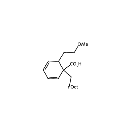 CCCCCCCCCC1(C(=O)O)C=CC=CC1CCOC